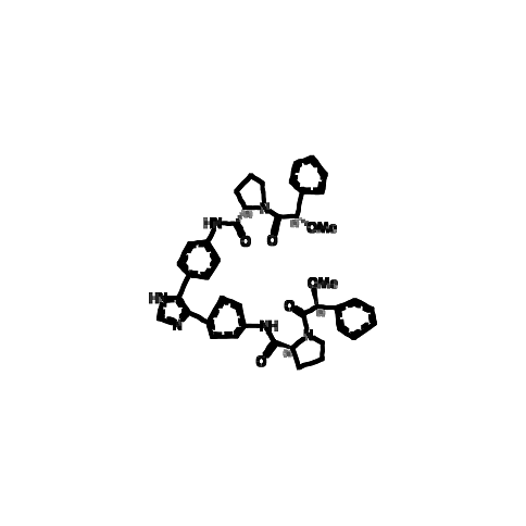 CO[C@H](C(=O)N1CCC[C@H]1C(=O)Nc1ccc(-c2nc[nH]c2-c2ccc(NC(=O)[C@@H]3CCCN3C(=O)[C@@H](OC)c3ccccc3)cc2)cc1)c1ccccc1